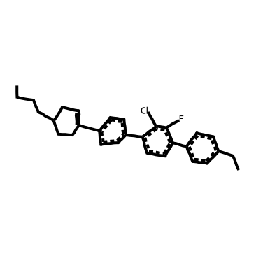 CCCCC1CC=C(c2ccc(-c3ccc(-c4ccc(CC)cc4)c(F)c3Cl)cc2)CC1